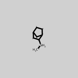 C[SiH2]C1CC2CCC1C2